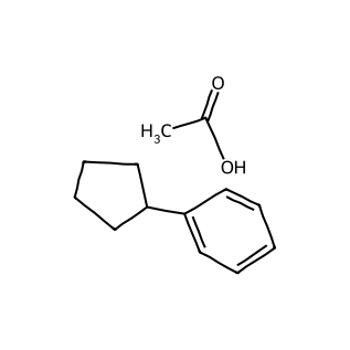 CC(=O)O.c1ccc(C2CCCC2)cc1